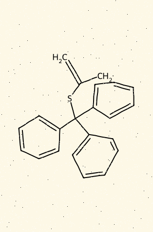 [CH2]C(=C)SC(c1ccccc1)(c1ccccc1)c1ccccc1